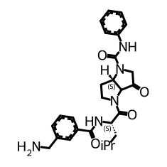 CC(C)C[C@H](NC(=O)c1cccc(CN)c1)C(=O)N1CC[C@H]2C1C(=O)CN2C(=O)Nc1ccccc1